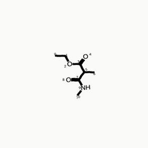 CCOC(=O)C(C)C(=O)NC